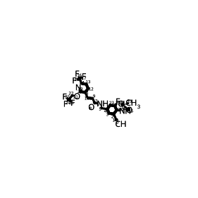 C#Cc1cc(CNC(=O)/C=C/c2ccc(C(F)(F)F)nc2OCC(F)(F)F)cc(F)c1NS(C)(=O)=O